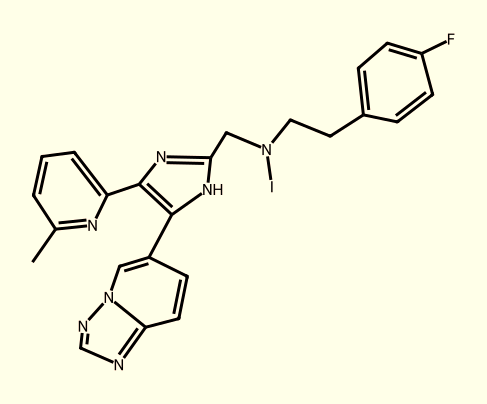 Cc1cccc(-c2nc(CN(I)CCc3ccc(F)cc3)[nH]c2-c2ccc3ncnn3c2)n1